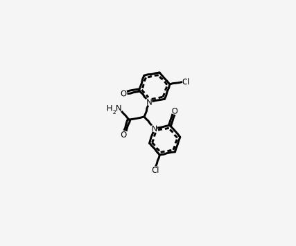 NC(=O)C(n1cc(Cl)ccc1=O)n1cc(Cl)ccc1=O